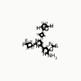 Nc1ncc(-c2cc([C@H]3C[C@@H](N4C[C@@H]5CC[C@H]4CO5)C3)nc(N3CCC(F)(F)C3)n2)cc1OC(F)F